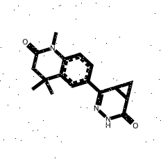 CN1C(=O)CC(C)(C)c2cc(C3=NNC(=O)C4CC34)ccc21